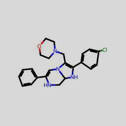 Clc1ccc(C2=C(CN3CCOCC3)N3C=C(c4ccccc4)NCC3N2)cc1